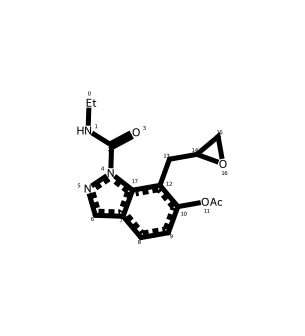 CCNC(=O)n1ncc2ccc(OC(C)=O)c(CC3CO3)c21